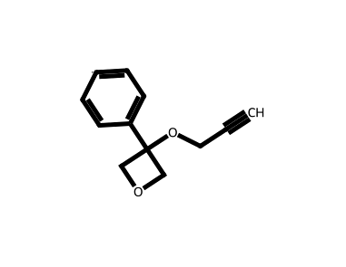 C#CCOC1(c2cc[c]cc2)COC1